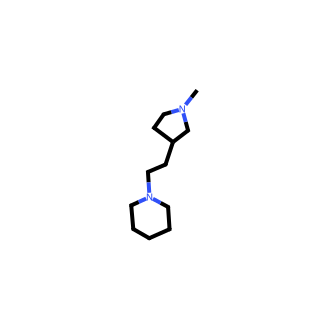 CN1CCC(CCN2CCCCC2)C1